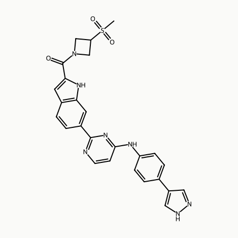 CS(=O)(=O)C1CN(C(=O)c2cc3ccc(-c4nccc(Nc5ccc(-c6cn[nH]c6)cc5)n4)cc3[nH]2)C1